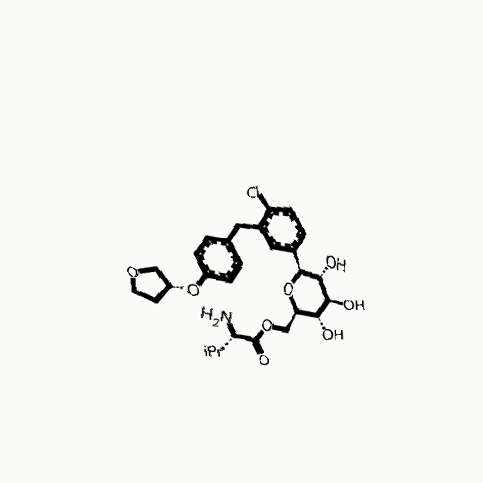 CC(C)[C@H](N)C(=O)OC[C@H]1O[C@@H](c2ccc(Cl)c(Cc3ccc(O[C@@H]4CCOC4)cc3)c2)[C@H](O)[C@@H](O)[C@@H]1O